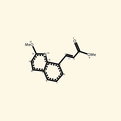 COC(=O)/C=C/c1cccc2ccc(OC)nc12